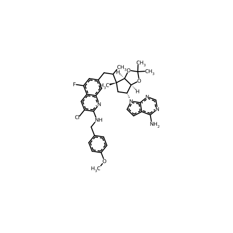 COc1ccc(CNc2nc3cc(CC(C)[C@@]4(C)C[C@@H](n5ccc6c(N)ncnc65)[C@@H]5OC(C)(C)O[C@@H]54)cc(F)c3cc2Cl)cc1